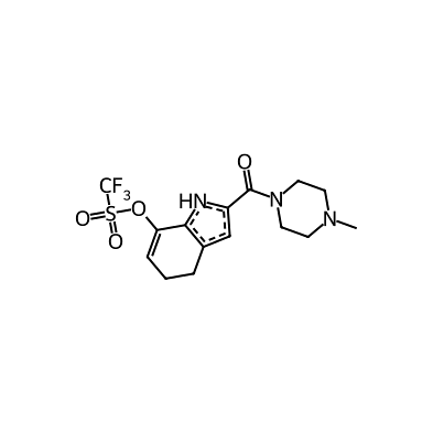 CN1CCN(C(=O)c2cc3c([nH]2)C(OS(=O)(=O)C(F)(F)F)=CCC3)CC1